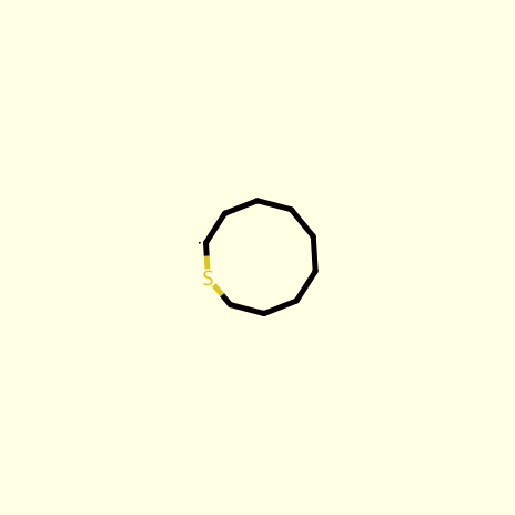 [CH]1CCCCCCCCS1